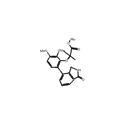 CCCCOC(=O)C(C)(C)Oc1c(-c2cccc3c2CNC3=O)ccc(OC)c1OC